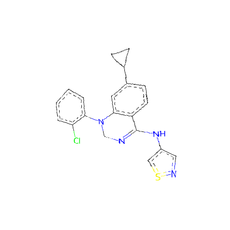 Clc1ccccc1N1CN=C(Nc2cnsc2)c2ccc(C3CC3)cc21